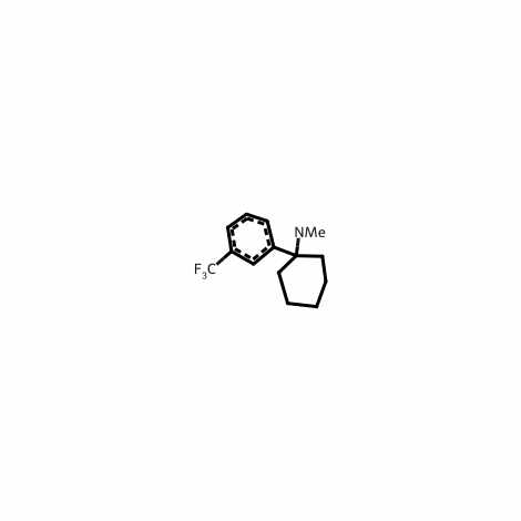 CNC1(c2cccc(C(F)(F)F)c2)CCCCC1